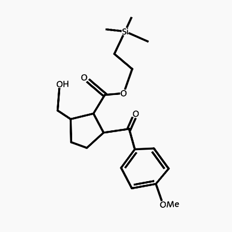 COc1ccc(C(=O)C2CCC(CO)C2C(=O)OCC[Si](C)(C)C)cc1